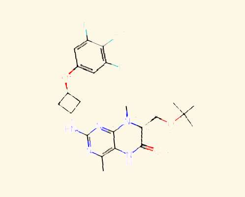 Cc1nc(N[C@H]2C[C@H](Oc3cc(F)c(F)c(F)c3)C2)nc2c1NC(=O)[C@H](COC(C)(C)C)N2C